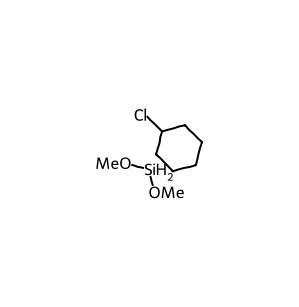 CO[SiH2]OC.ClC1CCCCC1